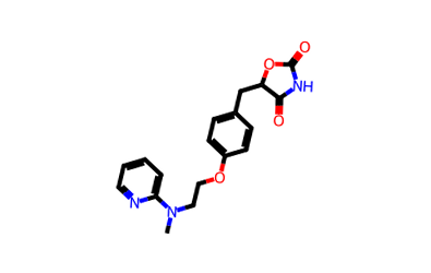 CN(CCOc1ccc(CC2OC(=O)NC2=O)cc1)c1ccccn1